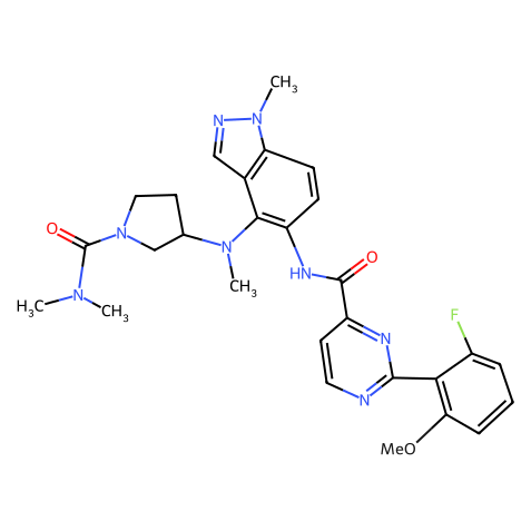 COc1cccc(F)c1-c1nccc(C(=O)Nc2ccc3c(cnn3C)c2N(C)C2CCN(C(=O)N(C)C)C2)n1